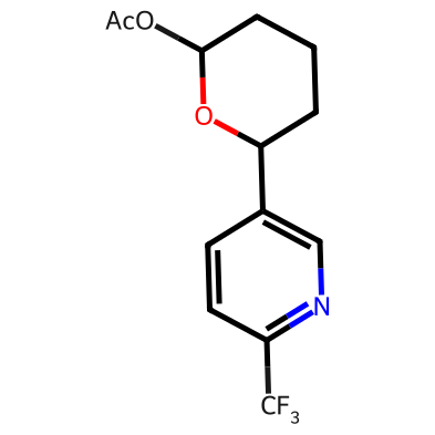 CC(=O)OC1CCCC(c2ccc(C(F)(F)F)nc2)O1